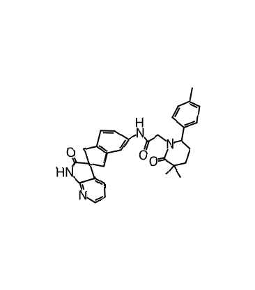 Cc1ccc(C2CCC(C)(C)C(=O)N2CC(=O)Nc2ccc3c(c2)CC2(C3)C(=O)Nc3ncccc32)cc1